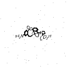 Nc1ccc2c(c1)CCCOc1c(cccc1C(=O)N1CCCC1C(=O)O)OC2=O